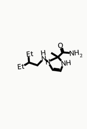 CCC(CC)CNN1C=CNC1(C)C(N)=O